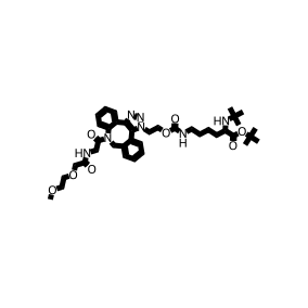 COCCOCC(=O)NCC(=O)N1Cc2ccccc2-c2c(nnn2CCOC(=O)NCCCCC(NC(C)(C)C)C(=O)OC(C)(C)C)-c2ccccc21